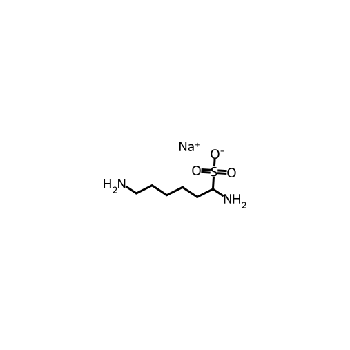 NCCCCCC(N)S(=O)(=O)[O-].[Na+]